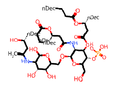 C=C(C[C@H](O)CCCCCCCCCC)NC1C(O)OC(CO[C@@H]2OC(CO)[C@@H](OP(=O)(O)O)C(OC(=O)C[C@@H](CCCCCCCCCC)OC(=O)CCCCCCCCCCCC)[C@@H]2NC(=O)C[C@@H](CCCCCCCCCC)OC(=O)CCCCCCCCCCCC)[C@@H](O)[C@@H]1O